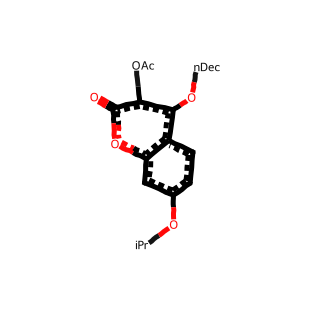 CCCCCCCCCCOc1c(OC(C)=O)c(=O)oc2cc(OC(C)C)ccc12